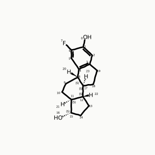 Oc1cc2c(cc1F)[C@H]1CC[C@H]3[C@@H](CC[C@@H]3O)[C@@H]1CC2